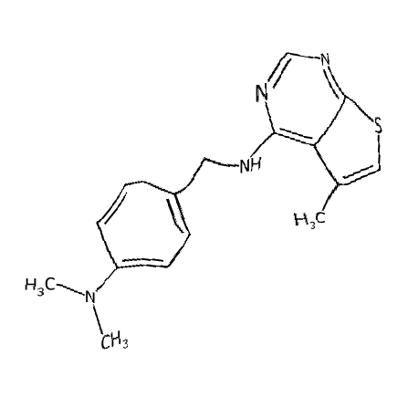 Cc1csc2ncnc(NCc3ccc(N(C)C)cc3)c12